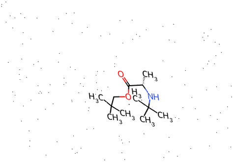 C[C@H](NC(C)(C)C)C(=O)OCC(C)(C)C